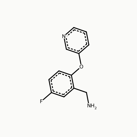 NCc1cc(F)ccc1Oc1cccnc1